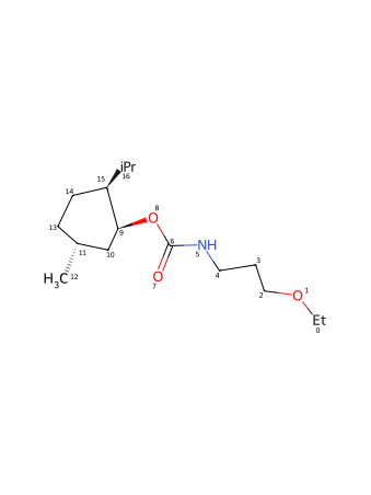 CCOCCCNC(=O)O[C@H]1C[C@H](C)CC[C@H]1C(C)C